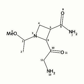 COC(C)N1CC(C(N)=O)C1C(=O)CN